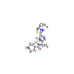 Cc1nsc(-c2ncc3n2CCN(C(=O)c2ccc(F)cc2)C3C)n1